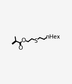 C=C(C)C(=O)OCCSCCCCCCCC